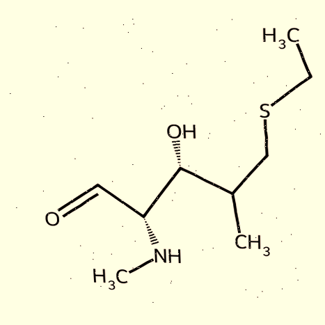 CCSCC(C)[C@@H](O)[C@@H](C=O)NC